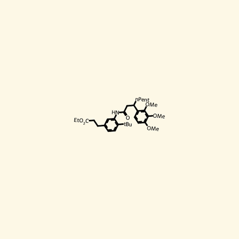 CCCCCC(CC(=O)Nc1cc(CCC(=O)OCC)ccc1C(C)(C)C)c1ccc(OC)c(OC)c1OC